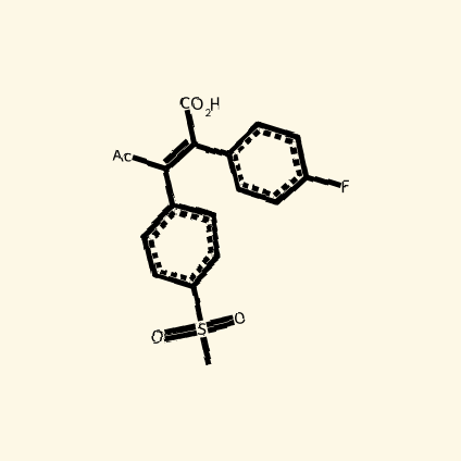 CC(=O)C(=C(C(=O)O)c1ccc(F)cc1)c1ccc(S(C)(=O)=O)cc1